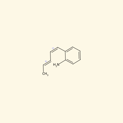 C/C=C/C=C\c1ccccc1N